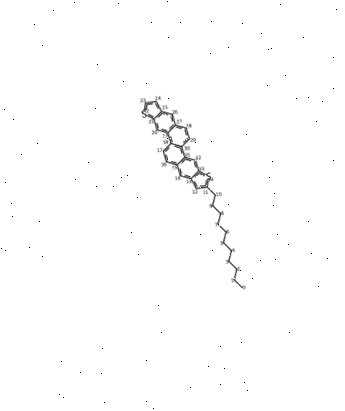 CCCCCCCCCCCc1cc2cc3ccc4c5cc6sccc6cc5ccc4c3cc2s1